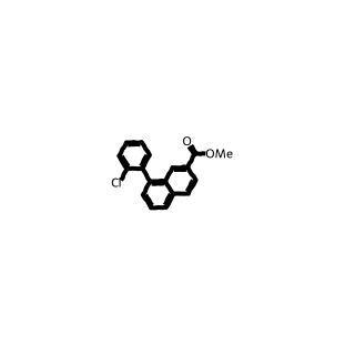 COC(=O)c1ccc2cccc(-c3ccccc3Cl)c2c1